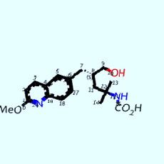 COc1ccc2cc(C[C@H](CO)CC(C)(C)NC(=O)O)ccc2n1